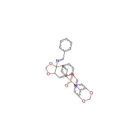 O=S(=O)(C1=CC2OCOC2(N=Cc2ccccc2)C=C1)c1cc2c(N=Cc3ccccc3)c(c1)OCO2